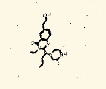 CCCC(c1nc2ccc(CCO)cc2c(=O)n1CC)N1C[C@@H](C)N[C@@H](C)C1